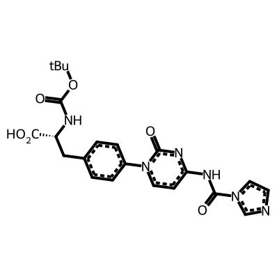 CC(C)(C)OC(=O)N[C@H](Cc1ccc(-n2ccc(NC(=O)n3ccnc3)nc2=O)cc1)C(=O)O